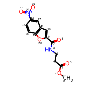 COC(=O)CCNC(=O)c1cc2cc([N+](=O)[O-])ccc2o1